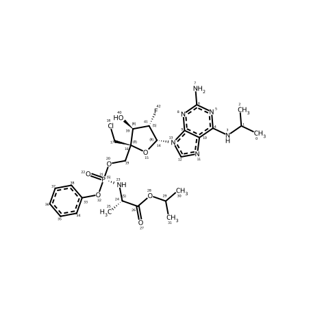 CC(C)Nc1nc(N)nc2c1ncn2[C@@H]1O[C@](CCl)(CO[P@@](=O)(N[C@@H](C)C(=O)OC(C)C)Oc2ccccc2)[C@@H](O)[C@@H]1F